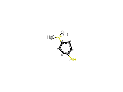 C[S+](C)c1ccc(S)cc1